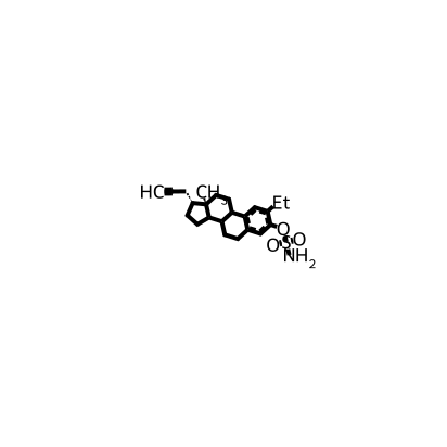 C#CC[C@H]1CCC2C3CCc4cc(OS(N)(=O)=O)c(CC)cc4C3CC[C@@]21C